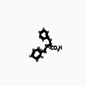 O=C(O)C(Cc1ccccc1)SCc1ccccc1